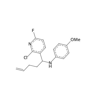 C=CCCC(Nc1ccc(OC)cc1)c1ccc(F)nc1Cl